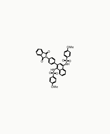 COc1ccc(S(=O)(=O)Nc2cc(-c3ccc(N4C(=O)c5ccccc5C4=O)cc3)c(NS(=O)(=O)c3ccc(OC)cc3)c3ccccc23)cc1